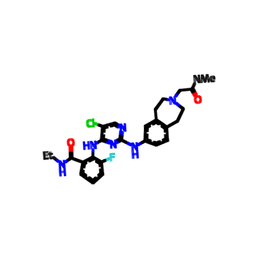 CCNC(=O)c1cccc(F)c1Nc1nc(Nc2ccc3c(c2)CCN(CC(=O)NC)CC3)ncc1Cl